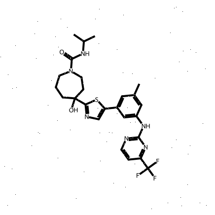 Cc1cc(Nc2nccc(C(F)(F)F)n2)cc(-c2cnc(C3(O)CCCN(C(=O)NC(C)C)CC3)s2)c1